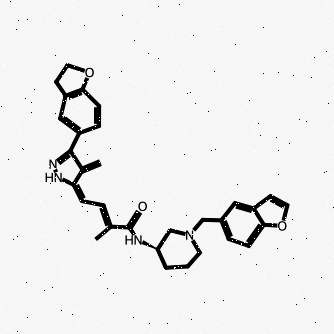 C=c1c(-c2ccc3c(c2)CCO3)n[nH]/c1=C/C=C(\C)C(=O)N[C@@H]1CCCN(Cc2ccc3occc3c2)C1